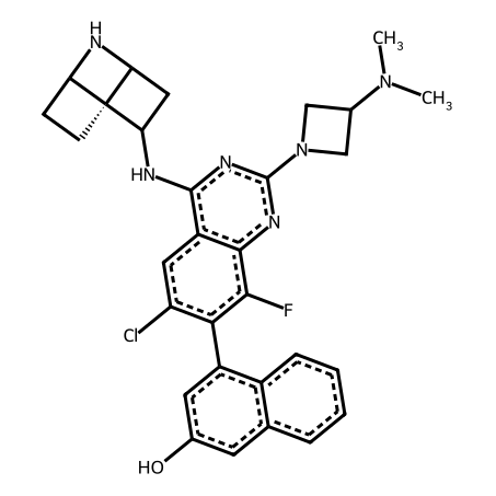 CN(C)C1CN(c2nc(NC3CC4NC5CC[C@]354)c3cc(Cl)c(-c4cc(O)cc5ccccc45)c(F)c3n2)C1